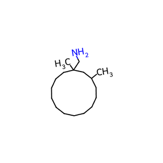 CC1CCCCCCCCCCCC(C)(CN)C1